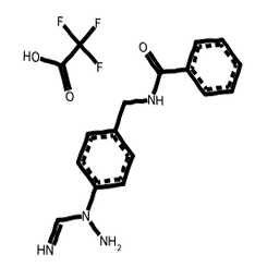 N=CN(N)c1ccc(CNC(=O)c2ccccc2)cc1.O=C(O)C(F)(F)F